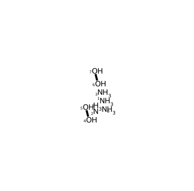 N.N.N.N.OO.OO